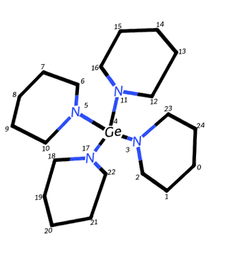 C1CC[N]([Ge]([N]2CCCCC2)([N]2CCCCC2)[N]2CCCCC2)CC1